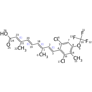 CC(/C=C/c1c(Cl)cc(OC(F)(F)F)c(C)c1Cl)=C\C=C\C(C)=C\C(=O)O